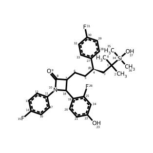 CC(C)(C[C@@H](CCC1C(=O)N(c2ccc(F)cc2)C1c1ccc(O)cc1F)c1ccc(F)cc1)[Si](C)(C)O